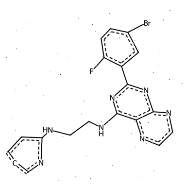 Fc1ccc(Br)cc1-c1nc(NCCNc2ccccn2)c2nccnc2n1